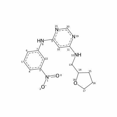 O=[N+]([O-])c1cccc(Nc2cc(NCC3CCCO3)ncn2)c1